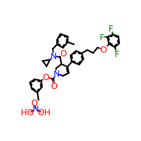 Cc1cccc(CN(C(=O)C2CN(C(=O)Oc3cccc(CON(O)O)c3)CC=C2c2ccc(CCCOc3c(F)ccc(F)c3F)cc2)C2CC2)c1